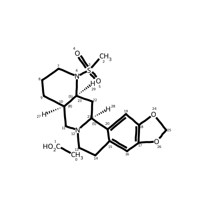 CC(=O)O.CS(=O)(=O)N1CCC[C@@H]2CN3CCc4cc5c(cc4[C@@H]3C[C@@H]21)OCO5